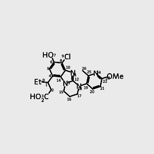 CCC(CC(=O)O)c1cc(O)c(Cl)c2nc3n(c12)CCCN3c1ccc(OC)nc1C